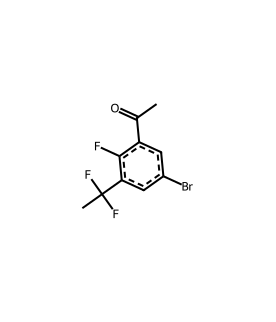 CC(=O)c1cc(Br)cc(C(C)(F)F)c1F